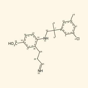 Cc1cc(Cl)cc(C(C)(C)CNc2ccc(C(=O)O)cc2CCC=N)c1